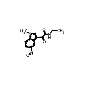 CCNC(=O)C(=O)c1cn(C)c2ccc(N=O)cc12